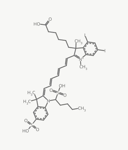 CCCCC(N1\C(=C/C=C/C=C/C=C/C2=[N+](C)c3cc(I)cc(I)c3C2(C)CCCCCC(=O)O)C(C)(C)c2cc(S(=O)(=O)O)ccc21)S(=O)(=O)O